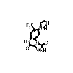 O=c1[nH]c2cc(C(F)(F)F)c(-n3ccnn3)cc2n2c(=O)[nH]nc12